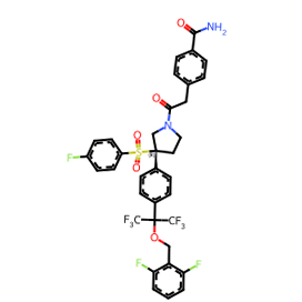 NC(=O)c1ccc(CC(=O)N2CC[C@](c3ccc(C(OCc4c(F)cccc4F)(C(F)(F)F)C(F)(F)F)cc3)(S(=O)(=O)c3ccc(F)cc3)C2)cc1